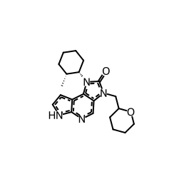 C[C@@H]1CCCC[C@@H]1n1c(=O)n(CC2CCCCO2)c2cnc3[nH]ccc3c21